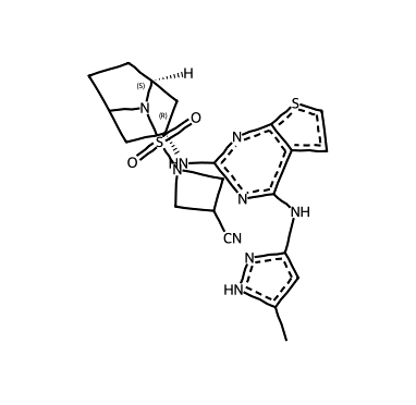 Cc1cc(Nc2nc(N[C@@H]3CC4CC[C@@H](C3)N4S(=O)(=O)N3CC(C#N)C3)nc3sccc23)n[nH]1